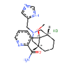 CO[C@]1(c2cccnc2C(N)=O)[C@@H]2CCC[C@H]1CN(Cc1cnc[nH]1)C2.Cl